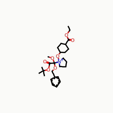 CCOC(=O)C1CCC(O[N+]2(C(OC)(OCc3ccccc3)C(=O)OC(C)(C)C)CCCC2)CC1